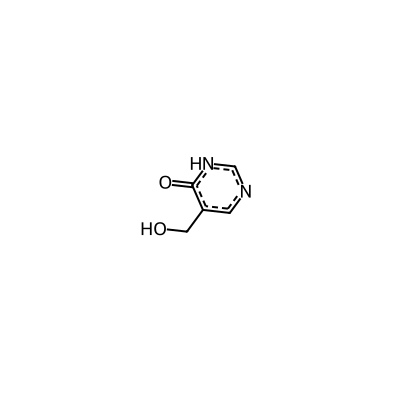 O=c1[nH]cncc1CO